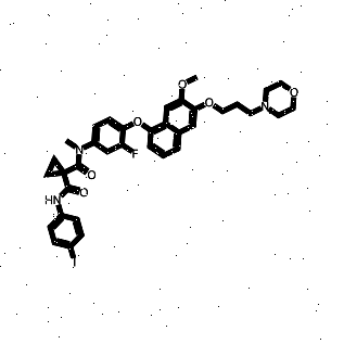 COc1cc2c(OC3=CC=C(N(C)C(=O)C4(C(=O)Nc5ccc(I)cc5)CC4)CC3F)cccc2cc1OCCCN1CCOCC1